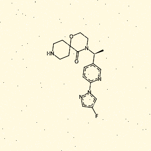 C[C@@H](c1ccc(-n2cc(F)cn2)nc1)N1CCOC2(CCNCC2)C1=O